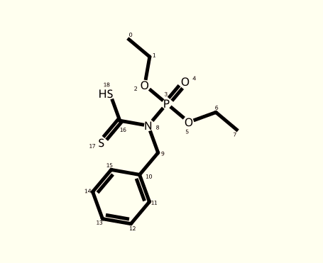 CCOP(=O)(OCC)N(Cc1ccccc1)C(=S)S